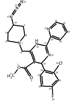 COC(=O)C1=C(CN2CCC(N=[N+]=[N-])CC2)NC(c2ccccn2)=NC1c1ccc(F)cc1Cl